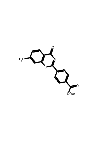 COC(=O)c1ccc(-c2nc(=O)c3ccc(C(F)(F)F)cc3o2)cc1